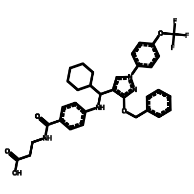 O=C(O)CCNC(=O)c1ccc(NC(c2cn(-c3ccc(OC(F)(F)F)cc3)nc2OCc2ccccc2)C2CCCCC2)cc1